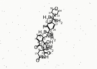 BC(B)(Nc1cccc2c1C(O)(O)N(C1(B)CCC(=O)NC1=O)C2=O)c1ccc(C(B)(B)N2CCOCC2)cc1F